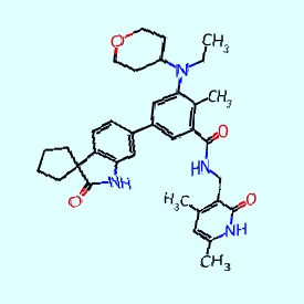 CCN(c1cc(-c2ccc3c(c2)NC(=O)C32CCCC2)cc(C(=O)NCc2c(C)cc(C)[nH]c2=O)c1C)C1CCOCC1